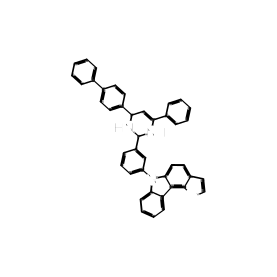 C1=C(c2ccccc2)NC(c2cccc(-n3c4ccccc4c4c5occc5ccc43)c2)NC1c1ccc(-c2ccccc2)cc1